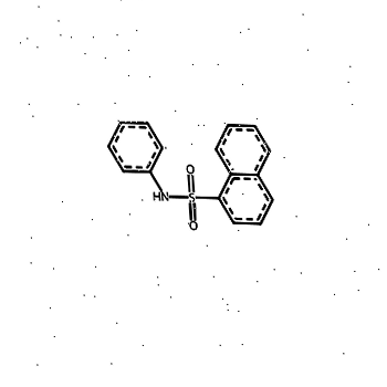 O=S(=O)(Nc1[c]cccc1)c1cccc2ccccc12